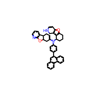 C1=Cc2oc3c(c2CN1)C(N(C1=CCC2c4cccnc4OC2C1)c1ccc(-c2cc4ccccc4c4ccccc24)cc1)CCC3